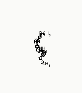 COC[C@@H]1CCN1c1ccn2ncc(C(=O)Nc3cc(-c4nnn(C5CN(C(=O)OC)C5)n4)ccc3C)c2c1